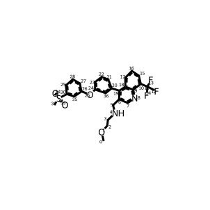 COCCNCc1cnc2c(C(F)(F)F)cccc2c1-c1cccc(Oc2cccc(S(C)(=O)=O)c2)c1